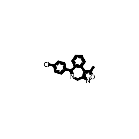 Cc1onc2c1-c1ccccc1C(c1ccc(Cl)cc1)=NC2